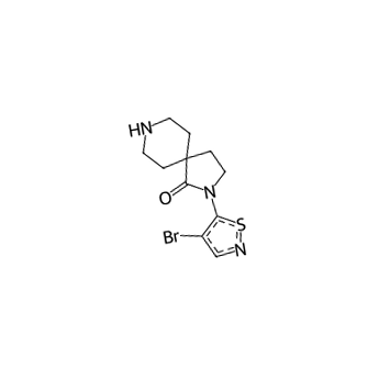 O=C1N(c2sncc2Br)CCC12CCNCC2